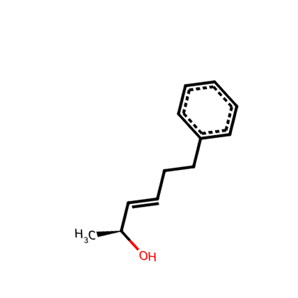 C[C@H](O)/C=C/CCc1ccccc1